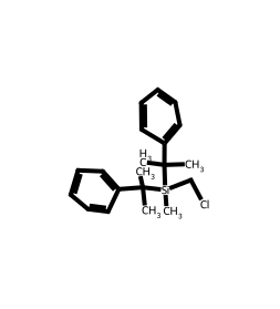 CC(C)(c1ccccc1)[Si](C)(CCl)C(C)(C)c1ccccc1